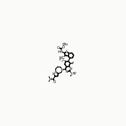 CN(C)C(=O)c1cc2n(n1)CCCN(c1nc([S+](C)[O-])nc3c(F)c(-c4cccc5sc(NC(=O)OC(C)(C)C)c(C#N)c45)c(C(F)(F)F)cc13)C2